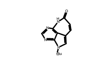 CC(C)(C)n1cc2c3c(ncnc31)NC(=O)C=C2